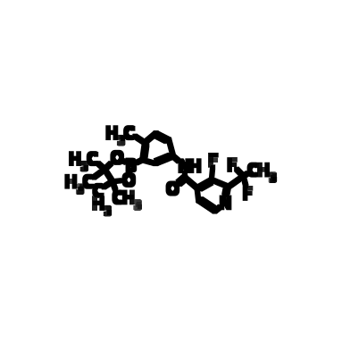 Cc1ccc(NC(=O)c2ccnc(C(C)(F)F)c2F)cc1B1OC(C)(C)C(C)(C)O1